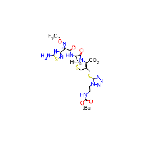 CC(C)(C)OC(=O)NCCn1nnnc1SCC1=C(C(=O)O)N2C(=O)C(NC(=O)/C(=N/OCC(F)(F)F)c3nsc(N)n3)[C@H]2SC1